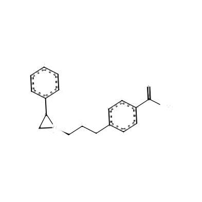 COC(=O)c1ccc(CCC[N@@]2CC2c2ccccc2)cc1